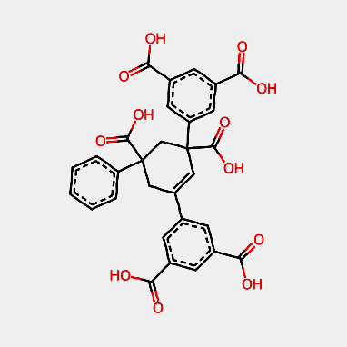 O=C(O)c1cc(C(=O)O)cc(C2=CC(C(=O)O)(c3cc(C(=O)O)cc(C(=O)O)c3)CC(C(=O)O)(c3ccccc3)C2)c1